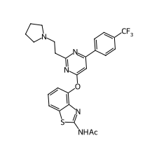 CC(=O)Nc1nc2c(Oc3cc(-c4ccc(C(F)(F)F)cc4)nc(CCN4CCCC4)n3)cccc2s1